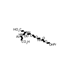 CCCOCCOCC(=O)NCCOCCOCC(=O)N[C@@H](CCC(=O)O)C(=O)N[C@@H](CCC(=O)O)C(C)=O